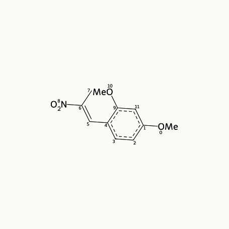 COc1ccc(C=C(C)[N+](=O)[O-])c(OC)c1